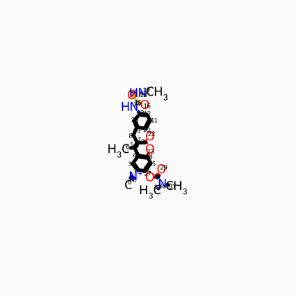 [C-]#[N+]c1cc2c(C)c(Cc3cccc(NS(=O)(=O)NC)c3)c(=O)oc2cc1OC(=O)N(C)C